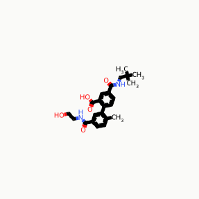 Cc1ccc(C(=O)NCCO)cc1-c1ccc(C(=O)NCC(C)(C)C)cc1C(=O)O